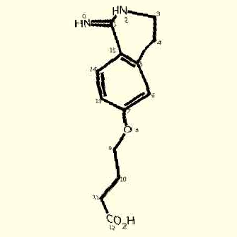 N=C1NCCc2cc(OCCCC(=O)O)ccc21